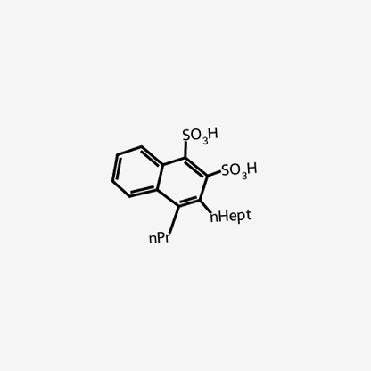 CCCCCCCc1c(S(=O)(=O)O)c(S(=O)(=O)O)c2ccccc2c1CCC